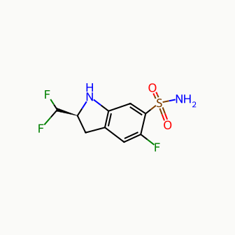 NS(=O)(=O)c1cc2c(cc1F)C[C@@H](C(F)F)N2